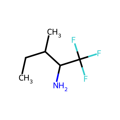 CCC(C)C(N)C(F)(F)F